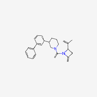 C=C(C)C1CC(=C)N1C(=C)N1CCCC(c2cccc(-c3ccccc3)c2)C1